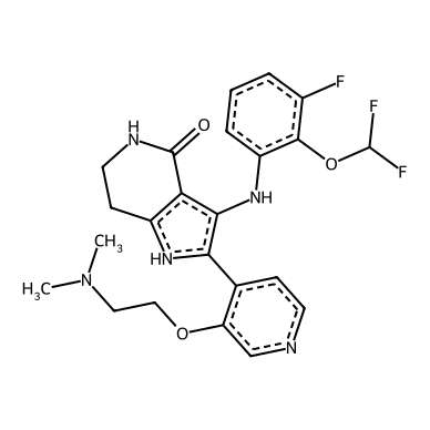 CN(C)CCOc1cnccc1-c1[nH]c2c(c1Nc1cccc(F)c1OC(F)F)C(=O)NCC2